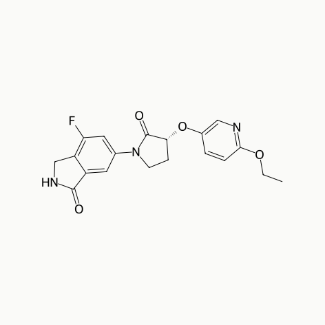 CCOc1ccc(O[C@@H]2CCN(c3cc(F)c4c(c3)C(=O)NC4)C2=O)cn1